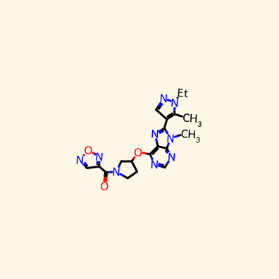 CCn1ncc(-c2nc3c(OC4CCN(C(=O)c5cnon5)C4)ncnc3n2C)c1C